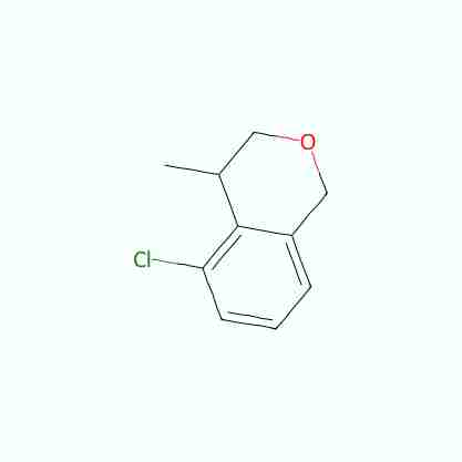 CC1COCc2cccc(Cl)c21